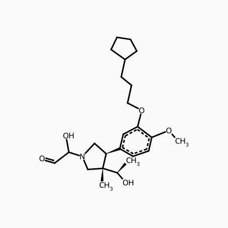 COc1ccc([C@@H]2CN(C(O)C=O)C[C@@]2(C)[C@@H](C)O)cc1OCCCC1CCCC1